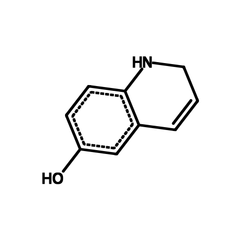 Oc1ccc2c(c1)C=CCN2